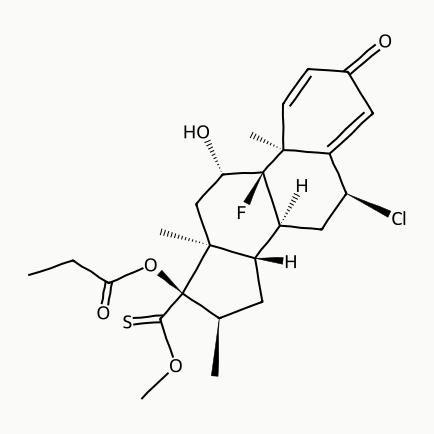 CCC(=O)O[C@]1(C(=S)OC)[C@H](C)C[C@H]2[C@@H]3C[C@H](Cl)C4=CC(=O)C=C[C@]4(C)[C@@]3(F)[C@@H](O)C[C@@]21C